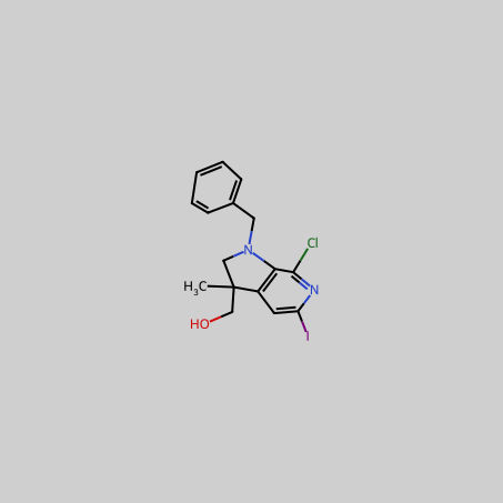 CC1(CO)CN(Cc2ccccc2)c2c1cc(I)nc2Cl